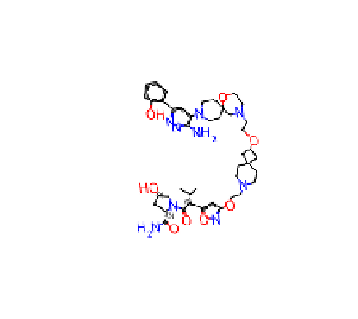 CC(C)[C@@H](C(=O)N1C[C@H](O)C[C@H]1C(N)=O)c1cc(OCCN2CCC3(CC2)CC(OCCN2CCOC4(CCN(c5cc(-c6ccccc6O)nnc5N)CC4)C2)C3)no1